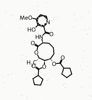 COc1ccnc(C(=O)N[C@H]2CCC[C@H](OC(=O)C3CCCC3)[C@@H](OC(=O)C3CCCC3)[C@H](C)OC2=O)c1O